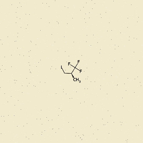 C[C@@H](CI)C(F)(F)F